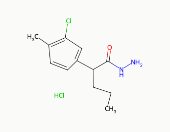 CCCC(C(=O)NN)c1ccc(C)c(Cl)c1.Cl